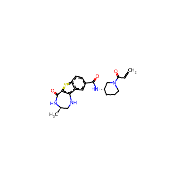 C=CC(=O)N1CCC[C@H](NC(=O)c2ccc3sc4c(c3c2)NC[C@@H](C)NC4=O)C1